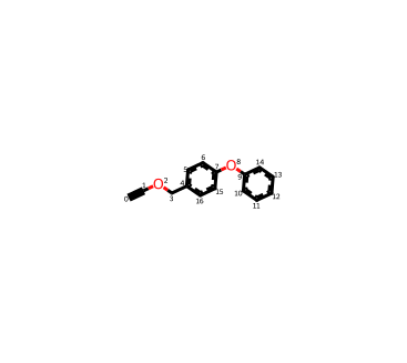 C#COCc1ccc(Oc2ccccc2)cc1